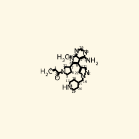 C=CC(=O)N1CCC(c2c(-c3cnn(CC4CCNCC4)c3)c3c(N)ncnc3n2C)C1